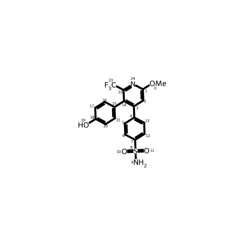 COc1cc(-c2ccc(S(N)(=O)=O)cc2)c(-c2ccc(O)cc2)c(C(F)(F)F)n1